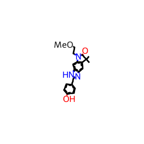 COCCN1C(=O)C(C)(C)c2cc3nc(-c4ccc(O)cc4)[nH]c3cc21